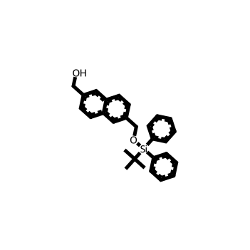 CC(C)(C)[Si](OCc1ccc2cc(CO)ccc2c1)(c1ccccc1)c1ccccc1